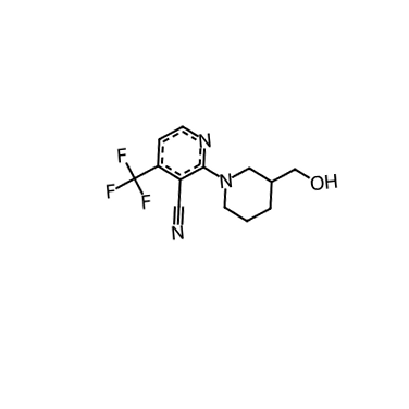 N#Cc1c(C(F)(F)F)ccnc1N1CCCC(CO)C1